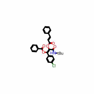 CC(C)(C)NC(=O)/C(OC(=O)C=Cc1ccccc1)=C(/OC(=O)c1ccccc1)c1ccc(Cl)cc1